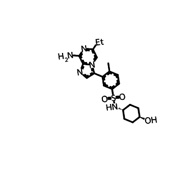 CCc1cn2c(-c3cc(S(=O)(=O)N[C@H]4CC[C@H](O)CC4)ccc3C)cnc2c(N)n1